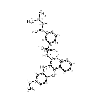 COc1ccc(Cl)c(Nc2nc3ccccc3nc2NS(=O)(=O)c2cccc(C(=O)NN(C)C)c2)c1